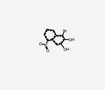 O=[N+]([O-])c1cccc2c(Br)c(O)c(O)cc12